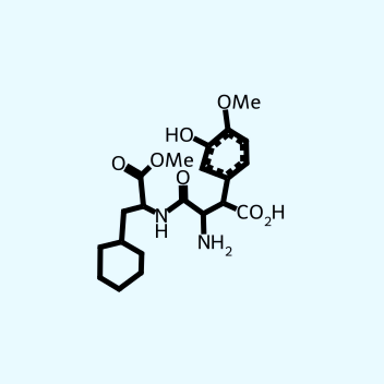 COC(=O)C(CC1CCCCC1)NC(=O)C(N)C(C(=O)O)c1ccc(OC)c(O)c1